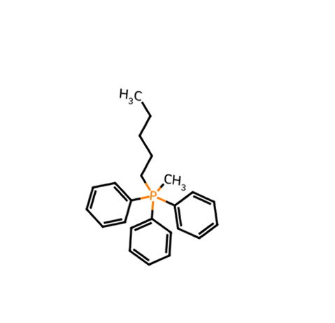 CCCCCP(C)(c1ccccc1)(c1ccccc1)c1ccccc1